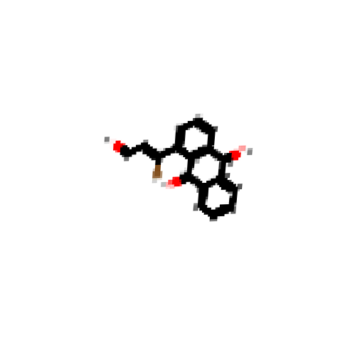 O=CC=C(Br)c1cccc2c1C(=O)c1ccccc1C2=O